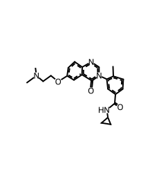 Cc1ccc(C(=O)NC2CC2)cc1-n1cnc2ccc(OCCN(C)C)cc2c1=O